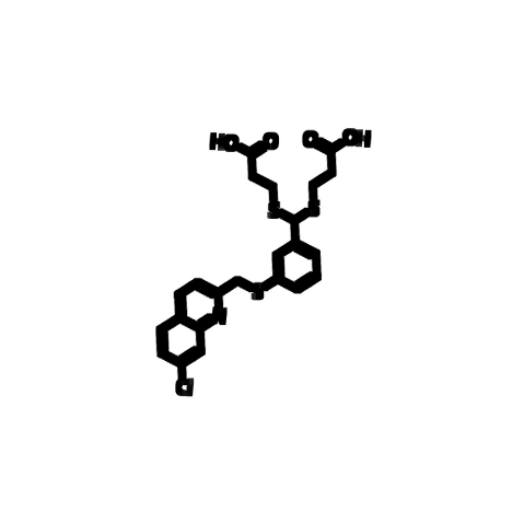 O=C(O)CCSC(SCCC(=O)O)c1cccc(SCc2ccc3ccc(Cl)cc3n2)c1